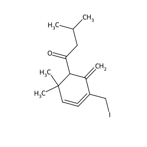 C=C1C(CI)=C=CC(C)(C)C1C(=O)CC(C)C